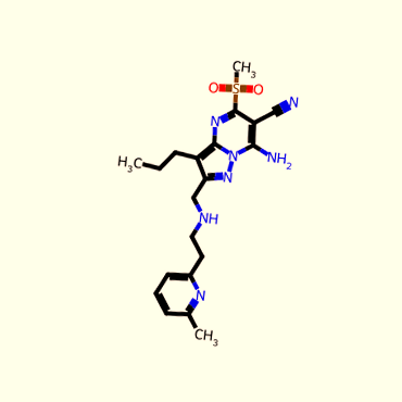 CCCc1c(CNCCc2cccc(C)n2)nn2c(N)c(C#N)c(S(C)(=O)=O)nc12